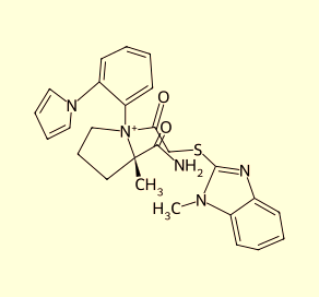 Cn1c(SCC(=O)[N+]2(c3ccccc3-n3cccc3)CCC[C@@]2(C)C(N)=O)nc2ccccc21